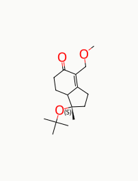 COCC1=C2CC[C@](C)(OC(C)(C)C)C2CCC1=O